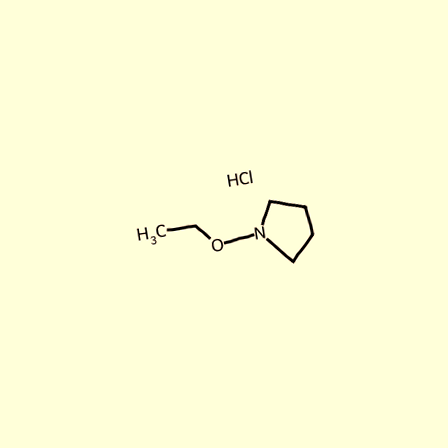 CCON1CCCC1.Cl